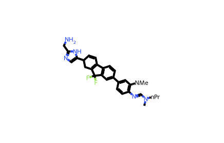 CCCN(C)/C=N/c1ccc(-c2ccc3c(c2)C(F)(F)C2=C3C=CC(c3cnc(CN)[nH]3)C2)cc1NC